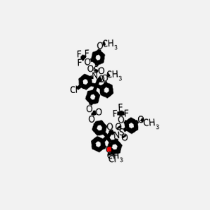 COc1ccc(S(=O)(=O)N2C(=O)C(c3ccc(OC(=O)Oc4ccc(C5(c6ccccc6OC)C(=O)N(S(=O)(=O)c6ccc(OC)cc6OC(F)(F)F)c6ccc(Cl)cc65)cc4)cc3)(c3ccccc3OC)c3cc(Cl)ccc32)c(OC(F)(F)F)c1